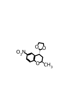 C[C@@H]1C[C@@H](C2OCCO2)c2cc([N+](=O)[O-])ccc2O1